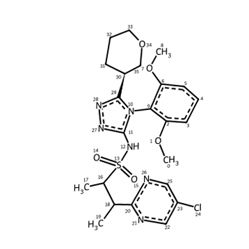 COc1cccc(OC)c1-n1c(NS(=O)(=O)C(C)C(C)c2ncc(Cl)cn2)nnc1[C@H]1CCCOC1